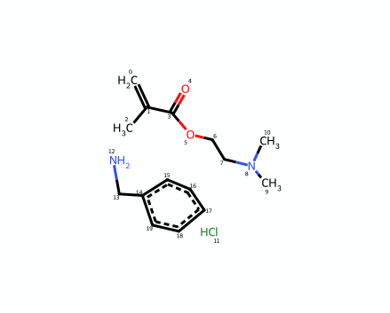 C=C(C)C(=O)OCCN(C)C.Cl.NCc1ccccc1